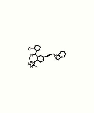 Cc1nnc2n1-c1ccc(C#CCn3ccc4ccccc43)cc1C(c1ccccc1Cl)=NC2